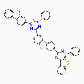 c1ccc(-c2nc(-c3ccc4c(c3)oc3ccccc34)nc(-c3ccc4sc5cc(-c6nc(-c7ccccc7)c7sc8ccccc8c7n6)ccc5c4c3)n2)cc1